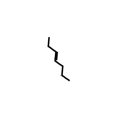 C[CH]CC=CCC